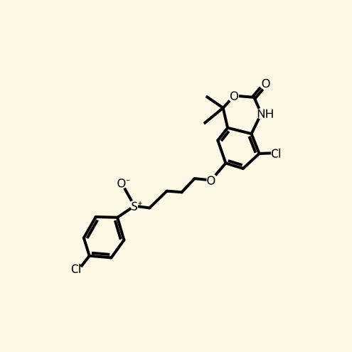 CC1(C)OC(=O)Nc2c(Cl)cc(OCCCC[S+]([O-])c3ccc(Cl)cc3)cc21